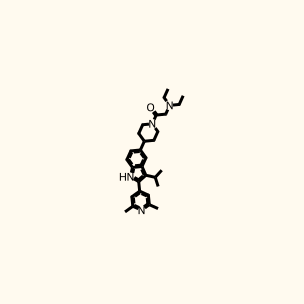 CCN(CC)CC(=O)N1CCC(c2ccc3[nH]c(-c4cc(C)nc(C)c4)c(C(C)C)c3c2)CC1